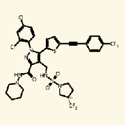 O=C(NN1CCCCC1)c1nn(-c2ccc(Cl)cc2Cl)c(-c2ccc(C#Cc3ccc(C(F)(F)F)cc3)s2)c1CNS(=O)(=O)N1CC[C@H](C(F)(F)F)C1